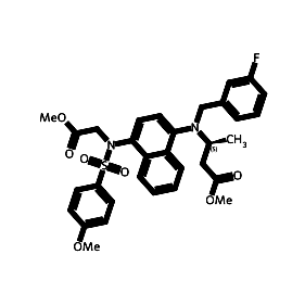 COC(=O)C[C@H](C)N(Cc1cccc(F)c1)c1ccc(N(CC(=O)OC)S(=O)(=O)c2ccc(OC)cc2)c2ccccc12